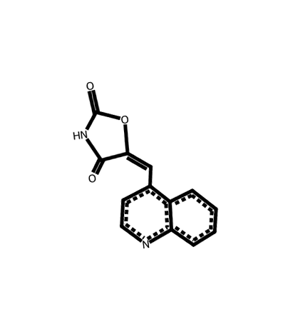 O=C1NC(=O)C(=Cc2ccnc3ccccc23)O1